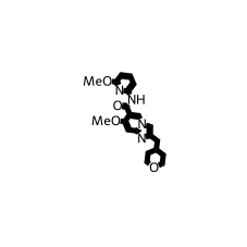 COc1cccc(NC(=O)c2cn3cc(CC4CCOCC4)nc3cc2OC)n1